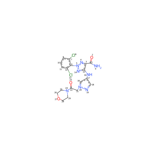 NC(=O)c1nn(-c2c(Cl)cccc2Cl)nc1Nc1cnn(CC(=O)N2CCOCC2)c1